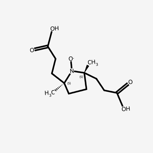 C[C@@]1(CCC(=O)O)CC[C@@](C)(CCC(=O)O)N1[O]